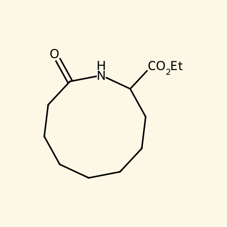 CCOC(=O)C1CCCCCCCC(=O)N1